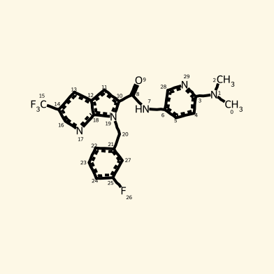 CN(C)c1ccc(NC(=O)c2cc3cc(C(F)(F)F)cnc3n2Cc2cccc(F)c2)cn1